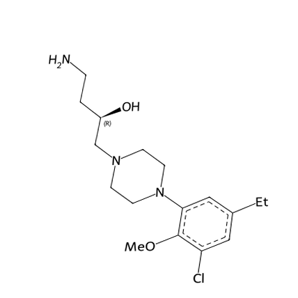 CCc1cc(Cl)c(OC)c(N2CCN(C[C@H](O)CCN)CC2)c1